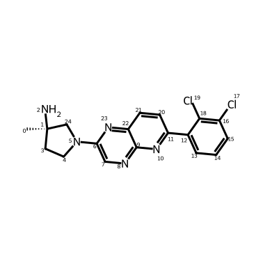 C[C@@]1(N)CCN(c2cnc3nc(-c4cccc(Cl)c4Cl)ccc3n2)C1